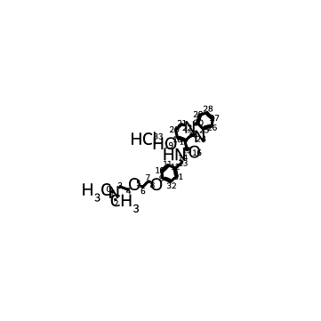 CN(C)CCOCCOc1ccc(CNC(=O)C2=C(O)CCn3c2nc2ccccc23)cc1.Cl